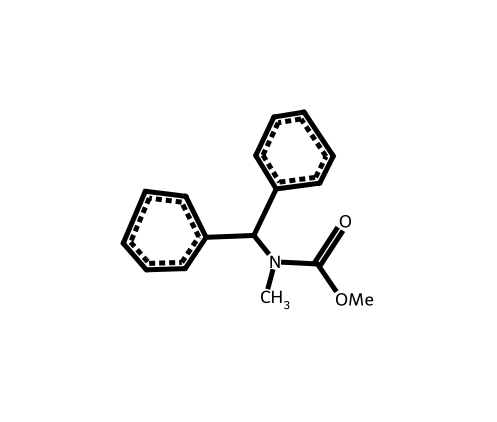 COC(=O)N(C)C(c1ccccc1)c1ccccc1